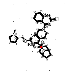 CN1CCC[C@H]1COc1nc2c(c(N3CC4CCC(C3)N4C(=O)OC(C)(C)C)n1)CCN(c1nc(Cl)nc3ccccc13)C2